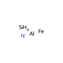 [Al].[Fe].[N].[SiH4]